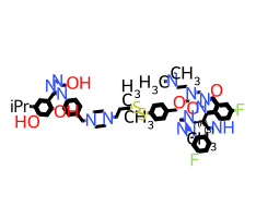 CC(C)c1cc(-c2nnc(O)n2-c2ccc(CN3CCN(CCC(C)(C)SSc4ccc(COC(=O)N(CCN(C)C)Cn5nc6c7c(cc(F)cc7c5=O)N[C@H](c5ccc(F)cc5)[C@H]6c5ncnn5C)cc4)CC3)cc2)c(O)cc1O